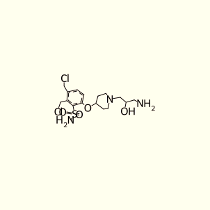 NCC(O)CN1CCC(Oc2ccc(CCl)c(CCl)c2S(N)(=O)=O)CC1